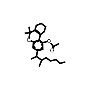 CCCCCC(C)C(C)c1cc(OC(C)=O)c2c(c1)OC(C)(C)C1=C2CCCC1